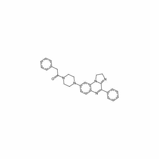 O=C(Cc1ccccc1)N1CCN(c2ccc3c(c2)N2CCN=C2C(c2ccccc2)=N3)CC1